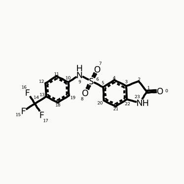 O=C1Cc2cc(S(=O)(=O)Nc3ccc(C(F)(F)F)cc3)ccc2N1